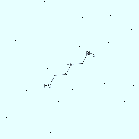 BCBSCO